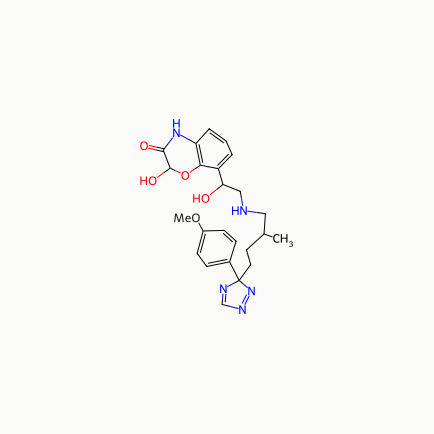 COc1ccc(C2(CCC(C)CNCC(O)c3cccc4c3OC(O)C(=O)N4)N=CN=N2)cc1